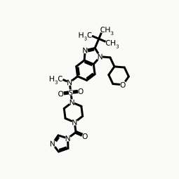 CN(c1ccc2c(c1)nc(C(C)(C)C)n2CC1CCOCC1)S(=O)(=O)N1CCN(C(=O)n2ccnc2)CC1